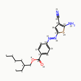 CCCCC(CC)COC(=O)c1ccc(N=Nc2cc(C#N)c(N)s2)cc1